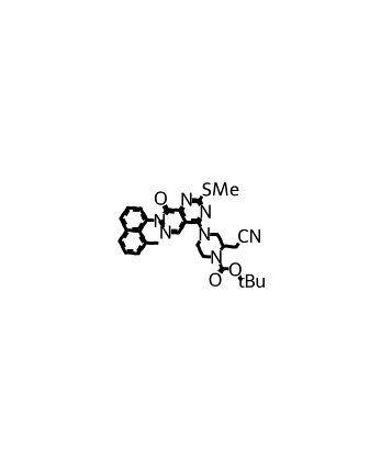 CSc1nc(N2CCN(C(=O)OC(C)(C)C)C(CC#N)C2)c2cnn(-c3cccc4cccc(C)c34)c(=O)c2n1